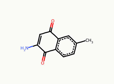 Cc1ccc2c(c1)C(=O)C=C(N)C2=O